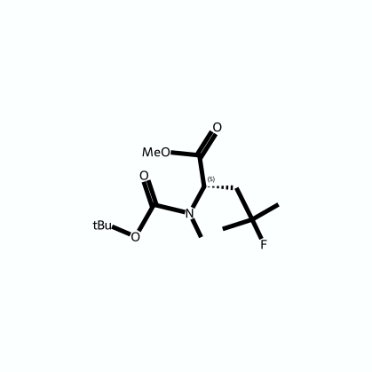 COC(=O)[C@H](CC(C)(C)F)N(C)C(=O)OC(C)(C)C